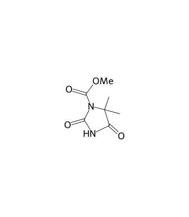 COC(=O)N1C(=O)NC(=O)C1(C)C